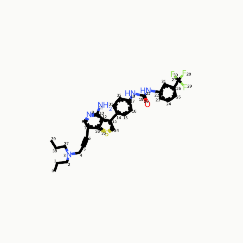 CCCN(CC#Cc1cnc(N)c2c(-c3ccc(NC(=O)Nc4cccc(C(F)(F)F)c4)cc3)csc12)CCC